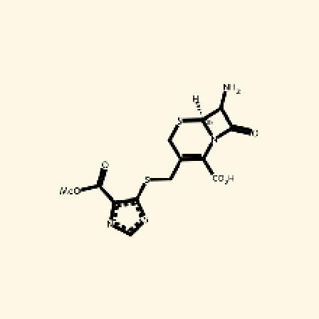 COC(=O)c1ncsc1SCC1=C(C(=O)O)N2C(=O)C(N)[C@@H]2SC1